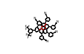 N#Cc1cccc(-c2ccc3c(c2)c2cc(-c4cccc(C#N)c4)ccc2n3-c2ccc(C#N)cc2-c2cc(-c3cc(C(F)(F)F)cc(C(F)(F)F)c3)ccc2-n2c3ccc(-c4cccc(C#N)c4)cc3c3cc(-c4cccc(C#N)c4)ccc32)c1